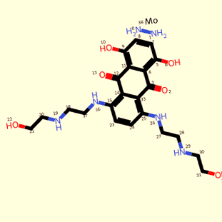 NN.O=C1c2c(O)ccc(O)c2C(=O)c2c(NCCNCCO)ccc(NCCNCCO)c21.[Mo]